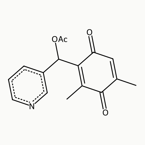 CC(=O)OC(C1=C(C)C(=O)C(C)=CC1=O)c1cccnc1